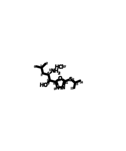 CC(C)C[C@H](N)C(O)c1nnc(SC(C)C)o1.Cl